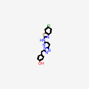 Oc1ccc(Cc2nnc3ccc(Nc4nc5ccc(Cl)cc5s4)nn23)cc1